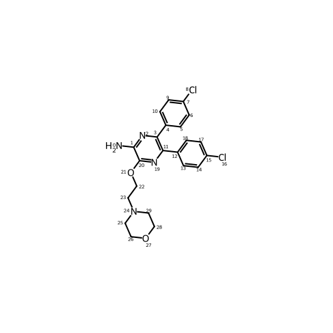 Nc1nc(-c2ccc(Cl)cc2)c(-c2ccc(Cl)cc2)nc1OCCN1CCOCC1